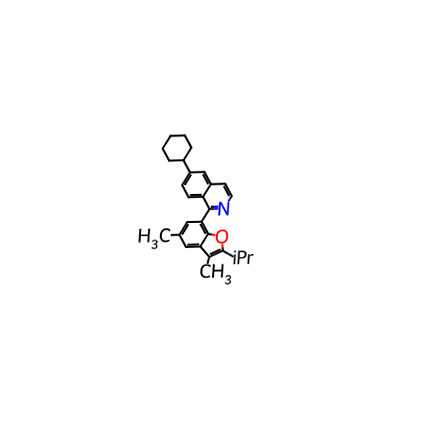 Cc1cc(-c2nccc3cc(C4CCCCC4)ccc23)c2oc(C(C)C)c(C)c2c1